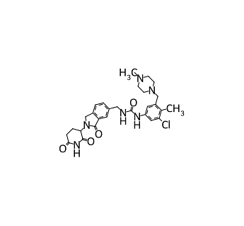 Cc1c(Cl)cc(NC(=O)NCc2ccc3c(c2)C(=O)N(C2CCC(=O)NC2=O)C3)cc1CN1CCN(C)CC1